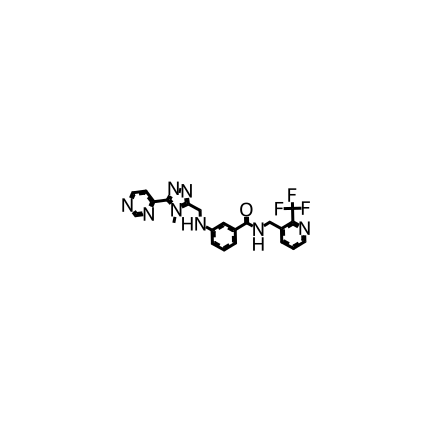 Cn1c(CNc2cccc(C(=O)NCc3cccnc3C(F)(F)F)c2)nnc1-c1ccncn1